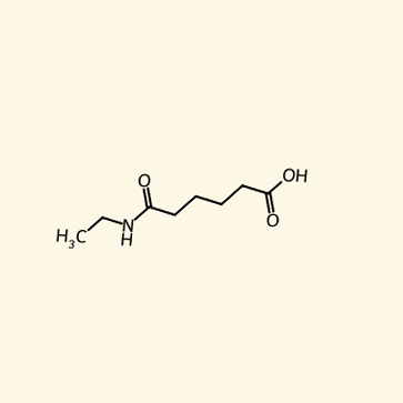 CCNC(=O)CCCCC(=O)O